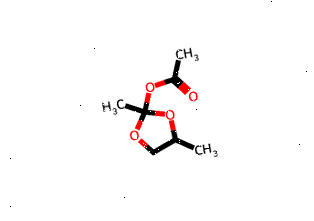 CC(=O)OC1(C)OCC(C)O1